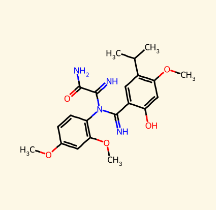 COc1ccc(N(C(=N)C(N)=O)C(=N)c2cc(C(C)C)c(OC)cc2O)c(OC)c1